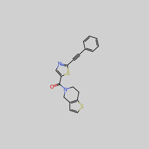 O=C(c1cnc(C#Cc2ccccc2)s1)N1CCc2sccc2C1